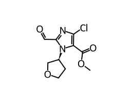 COC(=O)c1c(Cl)nc(C=O)n1[C@H]1CCOC1